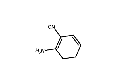 NC1=C(N=O)C=CCC1